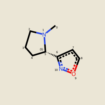 CN1CCC[C@H]1c1ccon1